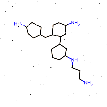 NCCCNC1CCCC(C2CC(N)CCC2CC2CCC(N)CC2)C1